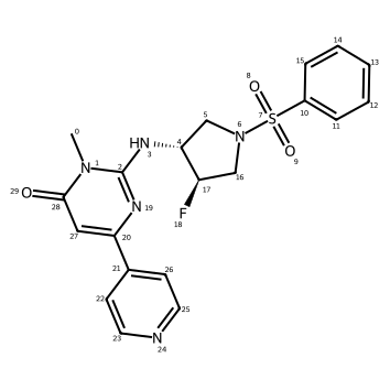 Cn1c(N[C@@H]2CN(S(=O)(=O)c3ccccc3)C[C@H]2F)nc(-c2ccncc2)cc1=O